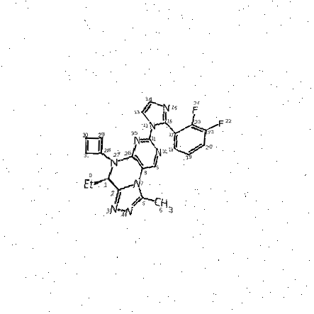 CC[C@@H]1c2nnc(C)n2-c2cnc(-n3ccnc3-c3cccc(F)c3F)nc2N1C1=CC=C1